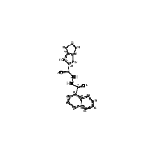 O=C(NNC(=O)c1nccc2ccccc12)c1cc2c(s1)CCC2